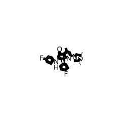 Cc1cc(N2C[C@@H](C)O[C@@H](C)C2)nc2c1c(=O)cc(Nc1ccc(F)cc1)n2-c1ccc(F)cc1